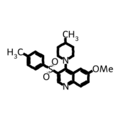 COc1ccc2ncc(S(=O)(=O)c3ccc(C)cc3)c(N3CCC(C)CC3)c2c1